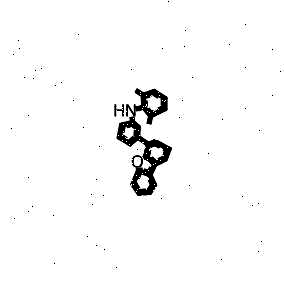 Cc1cccc(C)c1Nc1cccc(-c2cccc3c2oc2ccccc23)c1